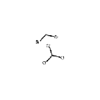 BrCBr.ClC(Cl)Cl